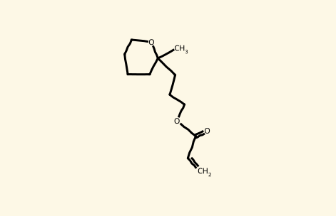 C=CC(=O)OCCCC1(C)CCCCO1